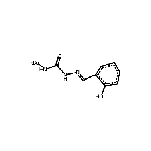 CC(C)(C)NC(=S)N/N=C/c1ccccc1O